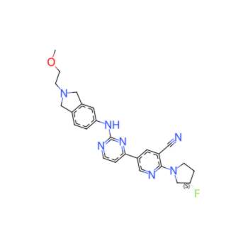 COCCN1Cc2ccc(Nc3nccc(-c4cnc(N5CC[C@H](F)C5)c(C#N)c4)n3)cc2C1